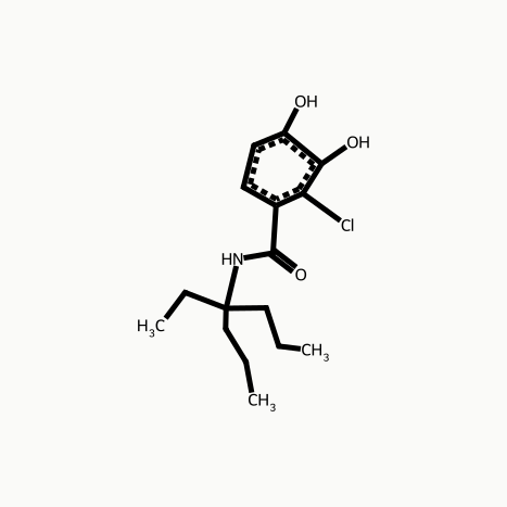 CCCC(CC)(CCC)NC(=O)c1ccc(O)c(O)c1Cl